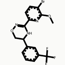 COc1nc(C2=NOCC(c3cccc(C(F)(F)F)c3)N2)ccc1Br